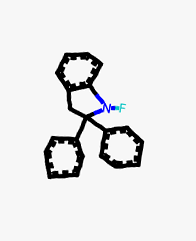 FN1c2ccccc2CC1(c1ccccc1)c1ccccc1